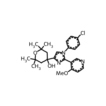 COc1ccncc1-c1nc(C2(O)CC(C)(C)OC(C)(C)C2)cn1-c1ccc(Cl)cc1